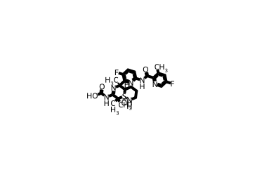 Cc1cc(F)cnc1C(=O)Nc1ccc(F)c([C@@]2(C)N=C(NC(=O)O)C(C)(C)[S@@]3(O)NCCC[C@H]23)n1